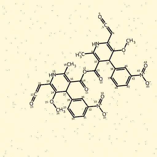 COC1=C(C=C=O)NC(C)=C(C(=O)OC(=O)C2=C(C)NC(C=C=O)=C(OC)C2c2cccc([N+](=O)[O-])c2)C1c1cccc([N+](=O)[O-])c1